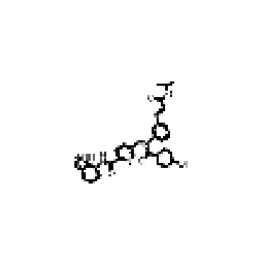 CC(C)OC(=O)/C=C/c1cccc(N(Cc2ccc(C(=O)Nc3cccc4cn[nH]c34)nc2)C(=O)C2CCC(O)CC2)c1